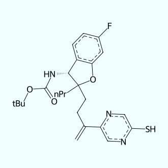 C=C(CCC1(CCC)Oc2cc(F)ccc2[C@H]1NC(=O)OC(C)(C)C)c1cnc(S)cn1